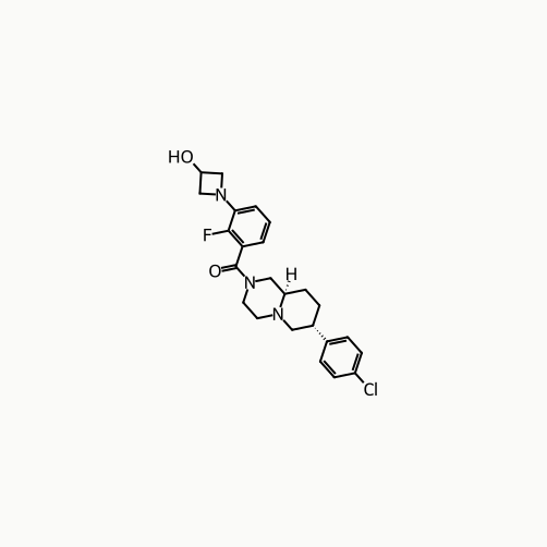 O=C(c1cccc(N2CC(O)C2)c1F)N1CCN2C[C@@H](c3ccc(Cl)cc3)CC[C@@H]2C1